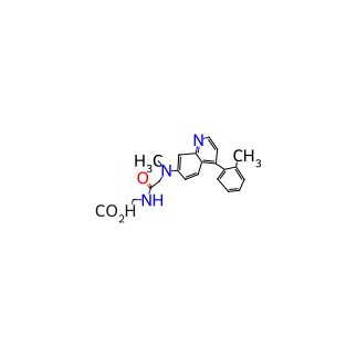 Cc1ccccc1-c1ccnc2cc(N(C)CC(=O)NCC(=O)O)ccc12